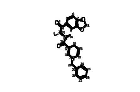 C[C@H](C(=O)c1ccc2c(c1)OCO2)N(C)C(=O)C1=CN(Cc2ccccc2)C=CC1